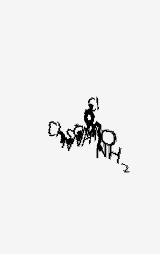 NCC(=O)N1CCC2(C1)CN(C(=O)Nc1ncc(Cl)s1)c1ccc(Cl)cc12